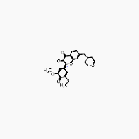 COC1=C/C(=C2/Oc3cc(CN4CCOCC4)ccc3C(=O)C2=O)C=C(SC)C1=O